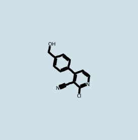 N#Cc1c(-c2ccc(CO)cc2)ccnc1Cl